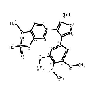 COc1ccc(-c2conc2-c2cc(OC)c(OC)c(OC)c2)cc1OP(=O)(O)O.[NaH]